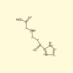 O=C(O)CNCCC(=O)c1ncc[nH]1